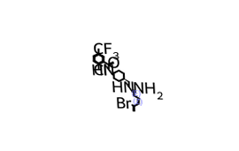 C=C(Br)/C=C\C=C(/N)NC[C@H]1CC[C@H](NC(=O)c2cc(C(F)(F)F)ccc2Cl)CC1